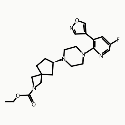 CCOC(=O)N1CC2(CC[C@@H](N3CCN(c4ncc(F)cc4-c4cnoc4)CC3)C2)C1